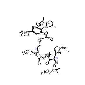 C=C(C)[C@@H]1CCC(C)=C[C@H]1c1c(O)cc(CCCCC)cc1OC(=O)SC/C=C1\[C@H](NC(=O)/C(=N\OC(C)(C)C(=O)O)C2=CCC(N)=N2)C(=O)N1S(=O)(=O)O